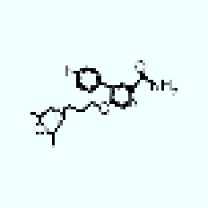 CC1CN(CCCOc2cnc(C(N)=O)cc2-c2ccc(F)cc2)CC(C)O1